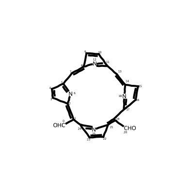 O=CC1=C2C=CC(=N2)C=C2C=CC(=N2)C=C2C=CC(=N2)C(C=O)=C2C=CC1=N2